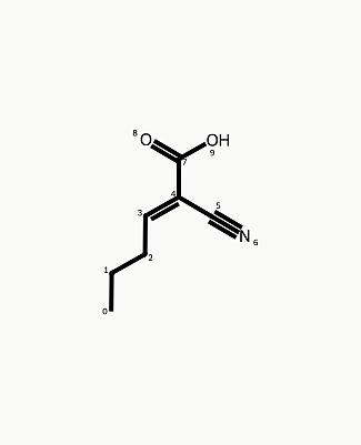 CCC/C=C(\C#N)C(=O)O